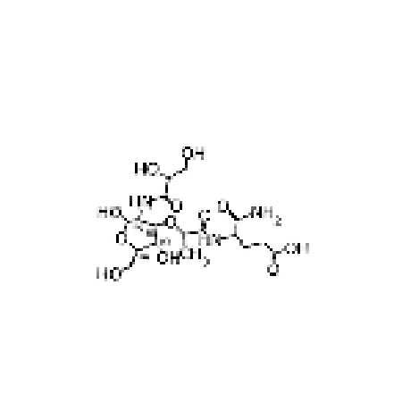 CC(O[C@H]1[C@H](O)[C@@H](CO)OC(O)[C@@H]1NC(=O)C(O)CO)C(=O)NC(CCC(=O)O)C(N)=O